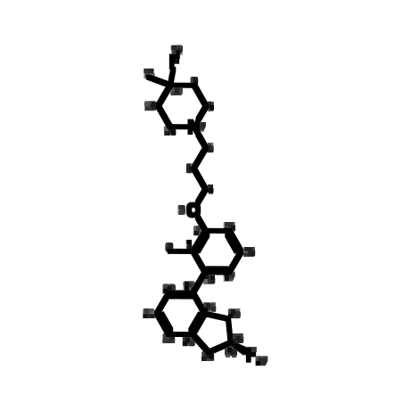 Cc1c(OCCCN2CCC(C)(F)CC2)cccc1-c1cccc2c1C[C@@H](F)C2